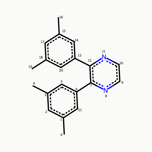 Cc1cc(C)cc(-c2nccnc2-c2cc(C)cc(C)c2)c1